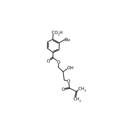 C=C(C)C(=O)OCC(O)COC(=O)c1ccc(C(=O)O)c(C(C)CC)c1